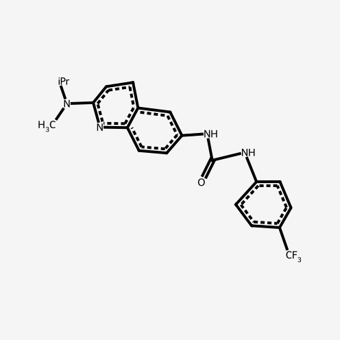 CC(C)N(C)c1ccc2cc(NC(=O)Nc3ccc(C(F)(F)F)cc3)ccc2n1